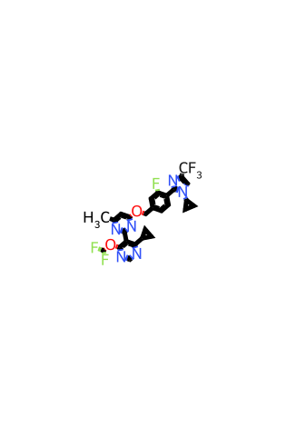 Cc1cc(OCc2ccc(-c3nc(C(F)(F)F)cn3C3CC3)c(F)c2)nc(-c2c(OC(F)F)ncnc2C2CC2)n1